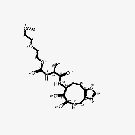 COCCOCCOC(=O)NC(C(=O)NC1CCc2ocnc2CNC(=O)C1=O)C(C)C